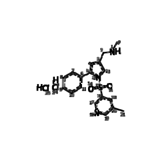 CNCc1cc(-c2ccccc2)n(S(=O)(=O)c2cncc(C)c2)c1.Cl.Cl